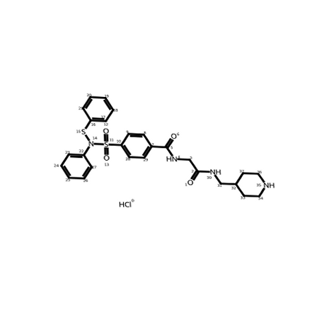 Cl.O=C(CNC(=O)c1ccc(S(=O)(=O)N(Sc2ccccc2)c2ccccc2)cc1)NCC1CCNCC1